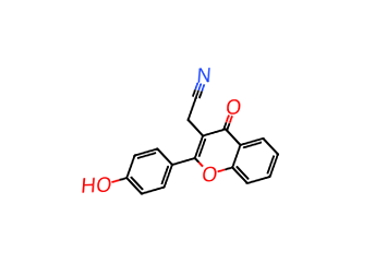 N#CCc1c(-c2ccc(O)cc2)oc2ccccc2c1=O